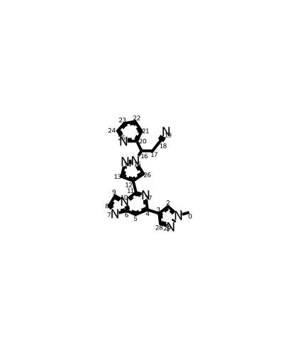 Cn1cc(-c2cc3nccn3c(-c3cnn(C(CC#N)c4ccccn4)c3)n2)cn1